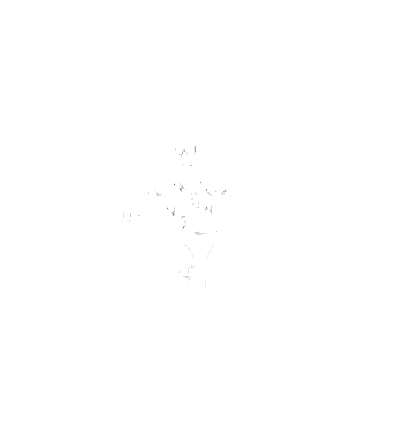 CCn1c(=O)c2c(nc(NC3CCCCC3)n2Cc2ccc(OC)cc2)n(CCO)c1=O